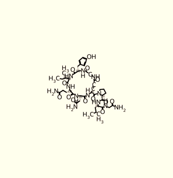 CC[C@H](C)[C@@H]1NC(=O)[C@H](Cc2ccc(O)cc2)NC(=O)CNC(=O)CC[C@@H](C(=O)N2CCC[C@H]2C(=O)N[C@@H](CC(C)C)C(=O)NCC(N)=O)NC(=O)[C@H](CC(N)=O)NC(=O)[C@H](CCC(N)=O)NC1=O